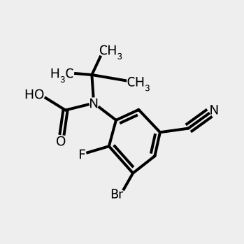 CC(C)(C)N(C(=O)O)c1cc(C#N)cc(Br)c1F